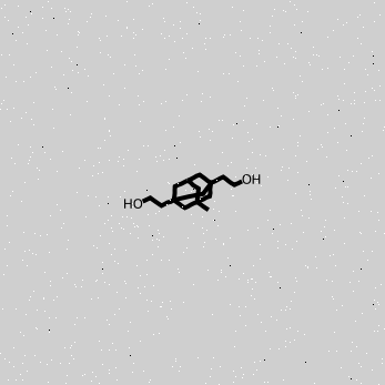 CC12CC3CC(CCO)(C1)CC(CCO)(C3)C2